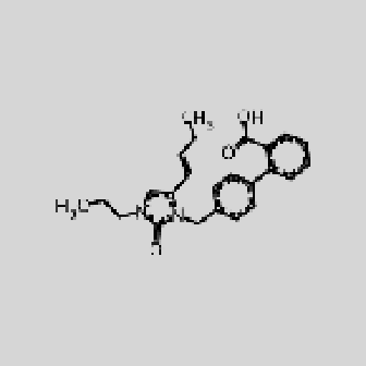 CCC=Cc1cn(CCC)c(=O)n1Cc1ccc(-c2ccccc2C(=O)O)cc1